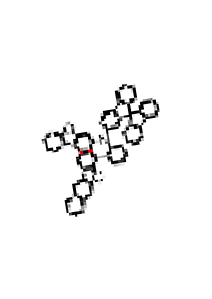 c1ccc(N(c2ccc3c(c2)C2(c4ccccc4-c4ccccc42)c2ccccc2-3)c2ccc3c(c2)oc2ccccc23)c(-c2cccc3c2oc2cc4ccccc4cc23)c1